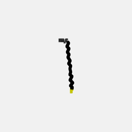 O=C(O)CCCCCCCCCCCCCCCCC=S